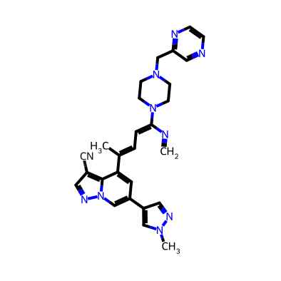 C=N/C(=C\C=C(/C)c1cc(-c2cnn(C)c2)cn2ncc(C#N)c12)N1CCN(Cc2cnccn2)CC1